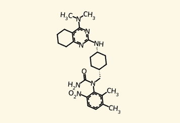 Cc1ccc([N+](=O)[O-])c(N(C[C@H]2CC[C@@H](Nc3nc4c(c(N(C)C)n3)CCCC4)CC2)C(N)=O)c1C